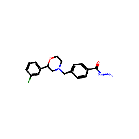 NNC(=O)c1ccc(CN2CCOC(c3cccc(F)c3)C2)cc1